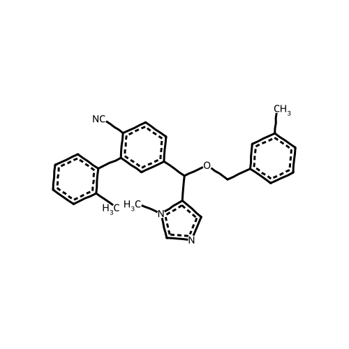 Cc1cccc(COC(c2ccc(C#N)c(-c3ccccc3C)c2)c2cncn2C)c1